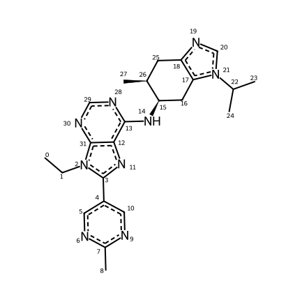 CCn1c(-c2cnc(C)nc2)nc2c(N[C@@H]3Cc4c(ncn4C(C)C)C[C@@H]3C)ncnc21